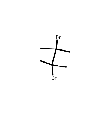 CC(C)(Br)C(C)(C)Br